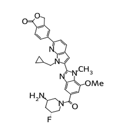 COc1cc(C(=O)N2C[C@H](N)C[C@@H](F)C2)cc2nc(-c3cc4ccc(-c5ccc6c(c5)COC6=O)nc4n3CC3CC3)n(C)c12